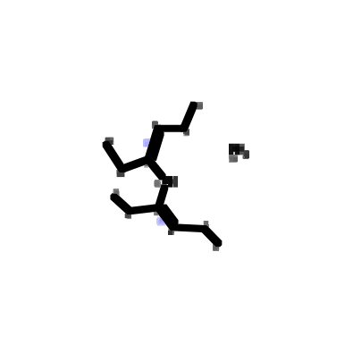 CC/C=C(/CC)P/C(=C\CC)CC.P